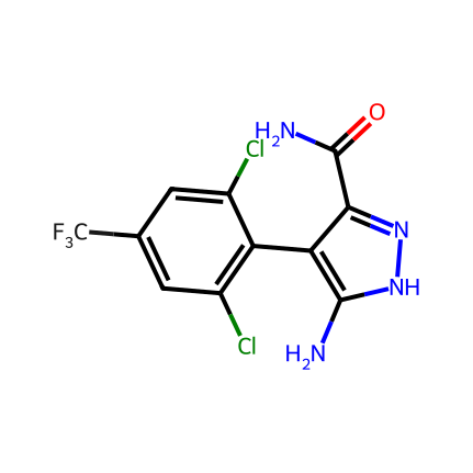 NC(=O)c1n[nH]c(N)c1-c1c(Cl)cc(C(F)(F)F)cc1Cl